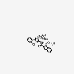 CCCCO.O.O=C(O)Cn1c(C(=O)Nc2nc(-c3ccccc3Cl)cs2)cc2ccccc21.[KH]